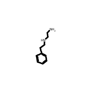 NCCN[CH]Cc1ccccc1